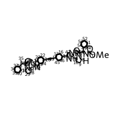 COC(=O)N[C@@H](C(=O)N1CCC[C@H]1c1nc(-c2ccc(C#Cc3ccc4[nH]c([C@@H]5CCCN5C(=O)[C@H](C)c5ccccc5)nc4c3)cc2)c[nH]1)c1ccccc1